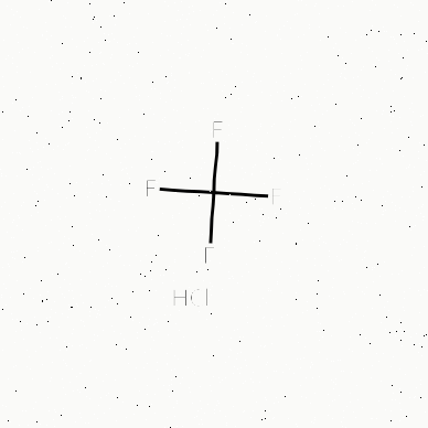 Cl.FC(F)(F)F